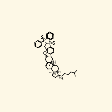 CC(C)CCC[C@@H](C)[C@H]1CC[C@@]2(C)C3CC=C4C[C@@H](OCCC(P(=S)(c5ccccc5)c5ccccc5)P(=S)(c5ccccc5)c5ccccc5)CC[C@]4(C)[C@H]3CC[C@]12C